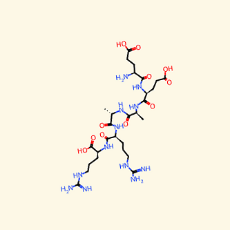 C[C@H](NC(=O)[C@H](C)NC(=O)[C@H](CCC(=O)O)NC(=O)[C@@H](N)CCC(=O)O)C(=O)N[C@@H](CCCNC(=N)N)C(=O)N[C@@H](CCCNC(=N)N)C(=O)O